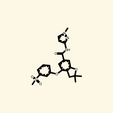 Cn1ccc(NC(=O)c2cc(Oc3cccc(S(C)(=O)=O)c3)c3c(c2)OC(C)(C)C3)n1